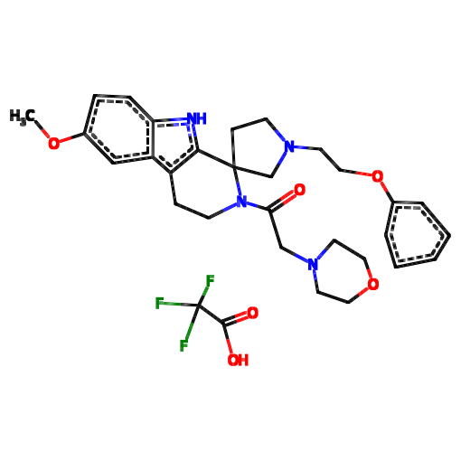 COc1ccc2[nH]c3c(c2c1)CCN(C(=O)CN1CCOCC1)C31CCN(CCOc2ccccc2)C1.O=C(O)C(F)(F)F